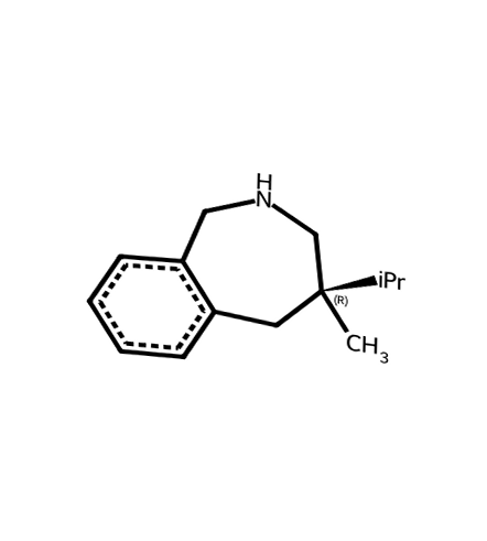 CC(C)[C@]1(C)CNCc2ccccc2C1